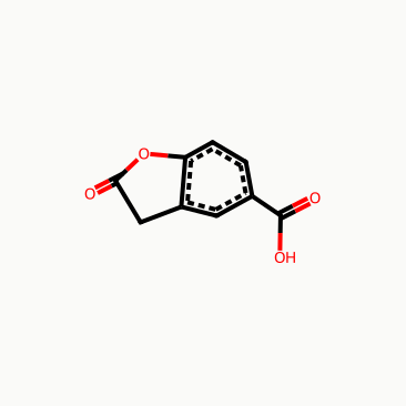 O=C1Cc2cc(C(=O)O)ccc2O1